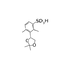 Cc1ccc(S(=O)(=O)O)c(C)c1C1COC(C)(C)O1